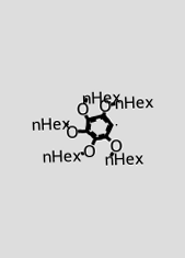 CCCCCCOc1[c]c(OCCCCCC)c(OCCCCCC)c(OCCCCCC)c1OCCCCCC